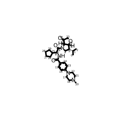 CC(C)[C@@H]1CN(C(=O)[C@@H](NC(=O)c2ccc(N3CCN(C)CC3)cc2)C2CCCC2)[C@@H]2C(=O)CO[C@@H]21